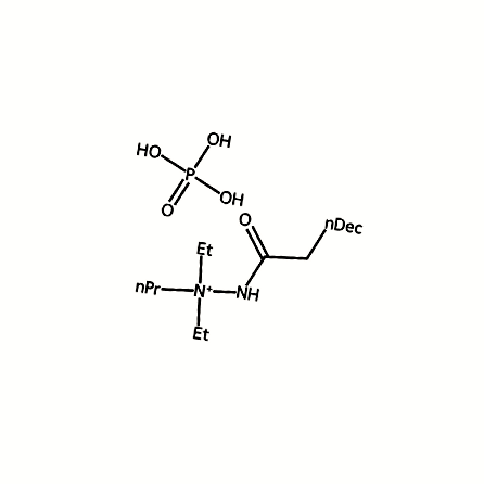 CCCCCCCCCCCC(=O)N[N+](CC)(CC)CCC.O=P(O)(O)O